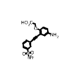 CCCS(=O)(=O)c1cccc(C#Cc2cc(N)ccc2OCC(=O)O)c1